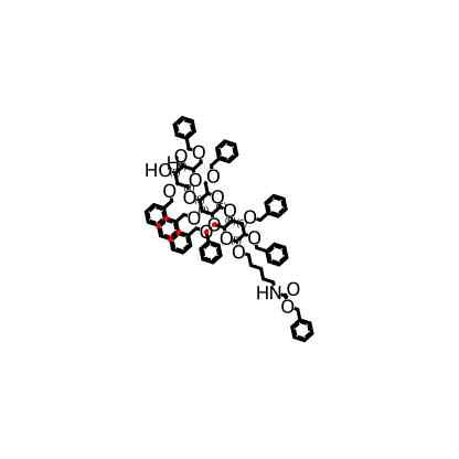 O=C(NCCCCCO[C@@H]1OC(COCc2ccccc2)[C@@H](O[C@@H]2OC(COCc3ccccc3)[C@H](O[C@H]3OC4COC(c5ccccc5)O[C@@H]4[C@H](O)C3OCc3ccccc3)[C@@H](OCc3ccccc3)C2OCc2ccccc2)[C@H](OCc2ccccc2)C1OCc1ccccc1)OCc1ccccc1